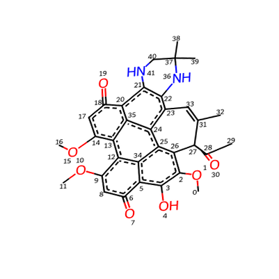 COc1c(O)c2c(=O)cc(OC)c3c4c(OC)cc(=O)c5c6c(c7c(c(c1C(C(C)=O)C(C)=C7)c23)c54)NC(C)(C)CN6